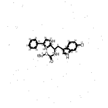 CC(C)(C)OC(=O)NC(Cc1c[nH]c2cc(Cl)ccc12)c1nc(-c2ccccc2)c[nH]1